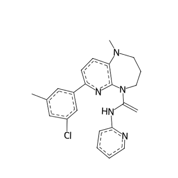 C=C(Nc1ccccn1)N1CCCN(C)c2ccc(-c3cc(C)cc(Cl)c3)nc21